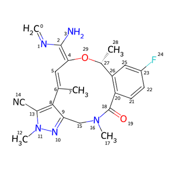 C=N/C(N)=C1\C=C(/C)c2c(nn(C)c2C#N)CN(C)C(=O)c2ccc(F)cc2[C@@H](C)O1